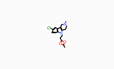 CC1OC(CCn2c3c(c4cc(Cl)ccc42)CN(C)CC3)O1